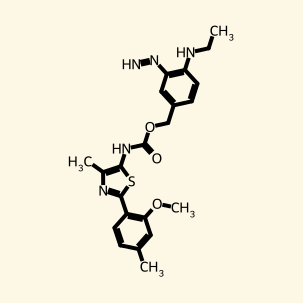 CCNc1ccc(COC(=O)Nc2sc(-c3ccc(C)cc3OC)nc2C)cc1N=N